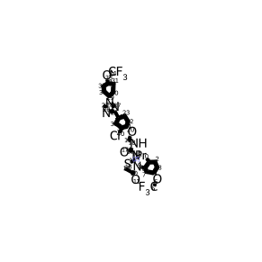 CC(C)c1ccc(OC(F)(F)F)cc1N1C(=O)CS/C1=N\C(=O)NCOc1ccc(-c2ncn(-c3ccc(OC(F)(F)F)cc3)n2)cc1Cl